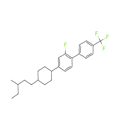 CCC(C)CCC1CCC(c2ccc(-c3ccc(C(F)(F)F)cc3)c(F)c2)CC1